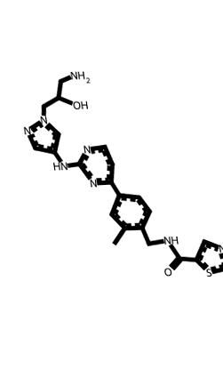 Cc1cc(-c2ccnc(Nc3cnn(CC(O)CN)c3)n2)ccc1CNC(=O)c1cnc(C(C)(C)C)s1